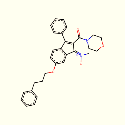 C/[N+]([O-])=C1\C(C(=O)N2CCOCC2)=C(c2ccccc2)c2ccc(OCCCc3ccccc3)cc21